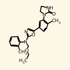 CCOCN(c1ncc(-c2ccc(C)c(N3CCNC3=O)c2)o1)c1ccccc1C